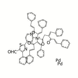 O=Cc1sc(-c2ccnc([N+](C(=O)CC(=Cc3ccccc3)C(=O)C=Cc3ccccc3)(C(=Cc3ccccc3)C(=O)C=Cc3ccccc3)C(=Cc3ccccc3)C(=O)C=Cc3ccccc3)c2)nc1-c1ccccc1.[Pd].[Pd]